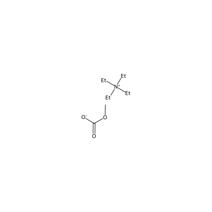 CC[N+](CC)(CC)CC.COC(=O)[O-]